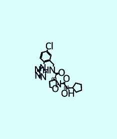 O=C(NCc1cc(Cl)ccc1-n1cnnn1)[C@@H]1CCON1C(=O)[C@H](O)C1CCCC1